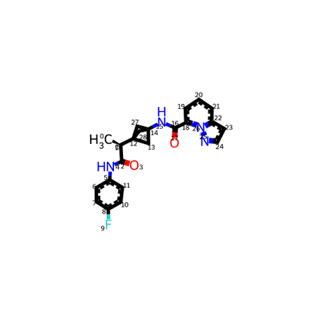 C[C@H](C(=O)Nc1ccc(F)cc1)C12CC(NC(=O)c3cccc4ccnn34)(C1)C2